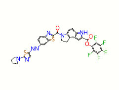 O=C(Oc1c(F)c(F)c(F)c(F)c1F)c1cc2c3c(ccc2[nH]1)N(C(=O)c1nc2ccc(/N=N/c4cnc(N5CCCC5)s4)cc2s1)CC3